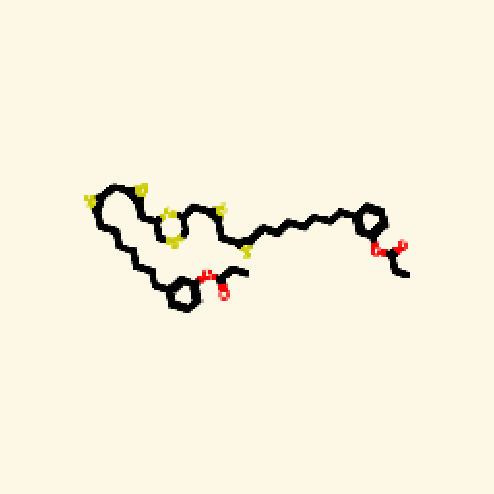 CCC(=O)Oc1cccc(CCCCCCCC2SC2CC2SC2CC2CSCC(CC3SC3CC3SC3CCCCCCCc3cccc(OC(=O)CC)c3)S2)c1